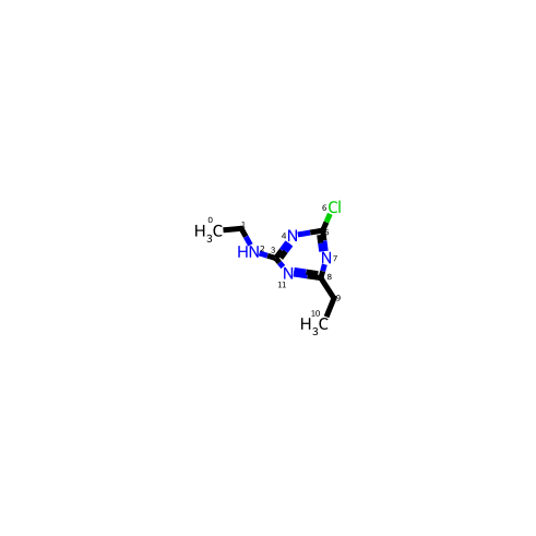 CCNc1nc(Cl)nc(CC)n1